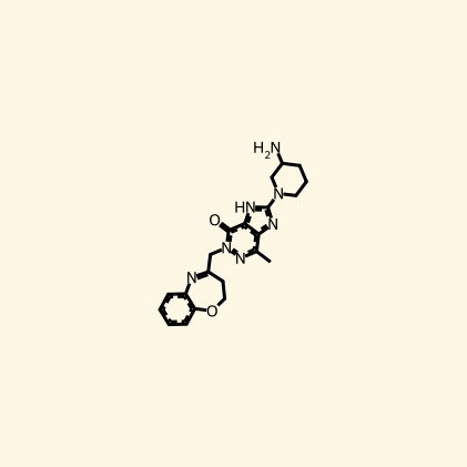 Cc1nn(CC2=Nc3ccccc3OCC2)c(=O)c2[nH]c(N3CCCC(N)C3)nc12